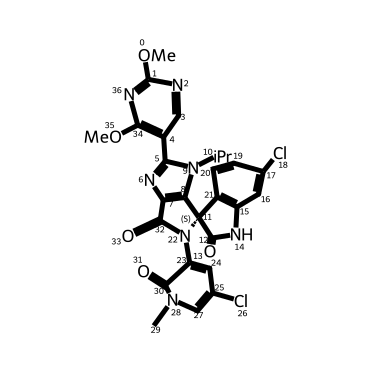 COc1ncc(-c2nc3c(n2C(C)C)[C@@]2(C(=O)Nc4cc(Cl)ccc42)N(c2cc(Cl)cn(C)c2=O)C3=O)c(OC)n1